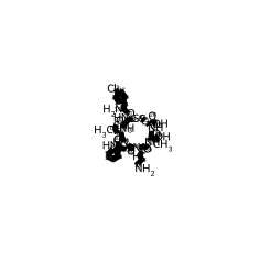 CC(C)C[C@@H]1NC(=O)[C@H](NC(=O)[C@@H](N)Cc2ccc(Cl)cc2)CSSC[C@@H](C(=O)O)NC(=O)[C@H]([C@@H](C)O)NC(=O)[C@H](CCCCN)NC(=O)[C@@H](Cc2c[nH]c3ccccc23)NC1=O